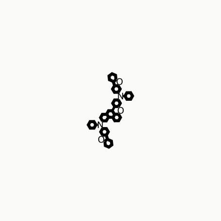 c1ccc(N(c2ccc3c(c2)Oc2cccc4c2c-3cc2ccc(N(c3ccccc3)c3ccc5c(c3)oc3ccccc35)cc24)c2ccc3c(c2)oc2ccccc23)cc1